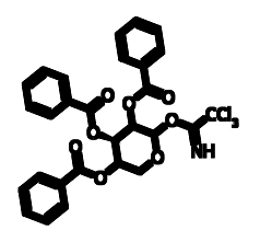 N=C(OC1OCC(OC(=O)c2ccccc2)[C@@H](OC(=O)c2ccccc2)C1OC(=O)c1ccccc1)C(Cl)(Cl)Cl